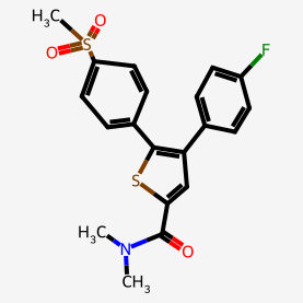 CN(C)C(=O)c1cc(-c2ccc(F)cc2)c(-c2ccc(S(C)(=O)=O)cc2)s1